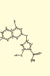 O=C(O)c1cn(Cc2cc(F)c3ncc(Cl)cc3c2)nc1CF